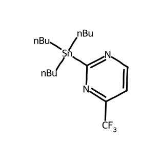 CCC[CH2][Sn]([CH2]CCC)([CH2]CCC)[c]1nccc(C(F)(F)F)n1